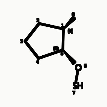 C[C@@H]1CCC[C@@H]1OS